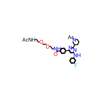 CC(=O)NCCOCCOCCNC(=O)c1ccc(-c2cc(Nc3cccc(F)c3)nc(C3CCCN(C(C)=O)C3)n2)cc1